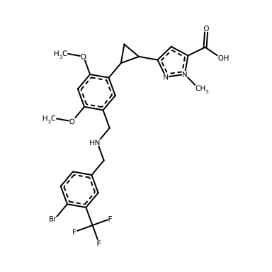 COc1cc(OC)c(C2CC2c2cc(C(=O)O)n(C)n2)cc1CNCc1ccc(Br)c(C(F)(F)F)c1